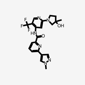 Cn1cc(-c2cccc(C(=O)Nc3cc(N4CCC(C)(O)C4)ncc3C(F)(F)F)n2)cn1